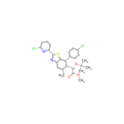 COC(=O)[C@@H](OC(C)(C)C)c1c(C)cc2nc(-c3cccc(Cl)n3)sc2c1-c1ccc(Cl)cc1